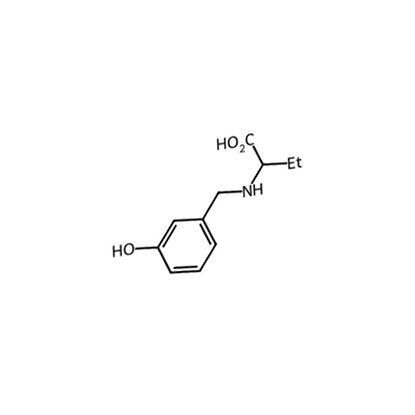 CCC(NCc1cccc(O)c1)C(=O)O